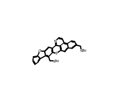 CC(C)(C)Cc1ccc2c(c1)cc1c3c(nccc32)-c2cc3oc4ccccc4c3c(CC(C)(C)C)c2S1